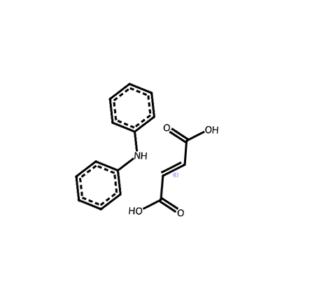 O=C(O)/C=C/C(=O)O.c1ccc(Nc2ccccc2)cc1